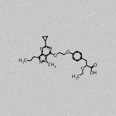 CCCc1nn(C)c2c(OCCOc3ccc(CC(OCC)C(=O)O)cc3)nc(C3CC3)nc12